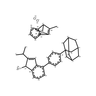 CC(C)C1=Cc2c(-c3ccc(C45CC6CC(CC(C6)C4)C5)cc3)cccc2[CH]1[Zr+2].CC1=C2c3ccsc3C1[Si]2(C)C.[Cl-].[Cl-]